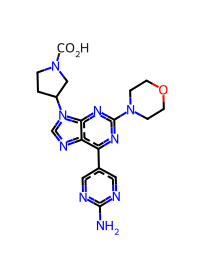 Nc1ncc(-c2nc(N3CCOCC3)nc3c2ncn3C2CCN(C(=O)O)C2)cn1